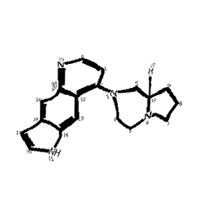 c1cc(N2CCN3CCC[C@H]3C2)c2cc3[nH]ccc3cc2n1